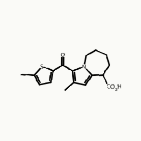 Cc1ccc(C(=O)c2c(C)cc3n2CCCCC3C(=O)O)s1